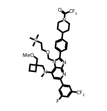 COCC1(CN(C)c2cc(-c3cc(F)cc(C(F)(F)F)c3)nc3nc(-c4ccc(C5CCN(C(=O)C(F)(F)F)CC5)cc4)n(COCC[Si](C)(C)C)c23)CCC1